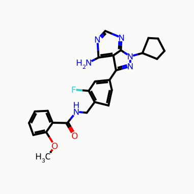 COc1ccccc1C(=O)NCc1ccc(-c2nn(C3CCCC3)c3ncnc(N)c23)cc1F